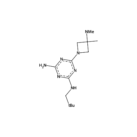 CNC1(C)CN(c2nc(N)nc(NCC(C)(C)C)n2)C1